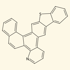 c1ccc2c(c1)ccc1c3ncccc3c3cc4c(cc3c21)sc1ccccc14